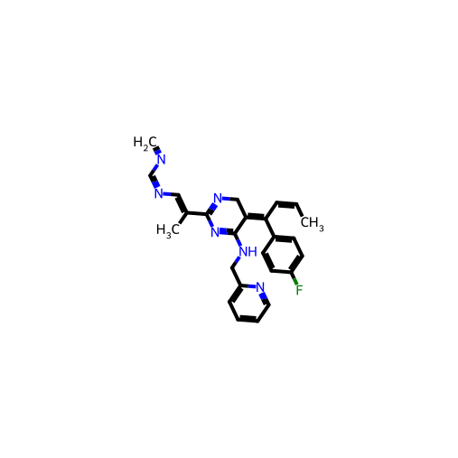 C=N/C=N\C=C(/C)C1=NC/C(=C(\C=C/C)c2ccc(F)cc2)C(NCc2ccccn2)=N1